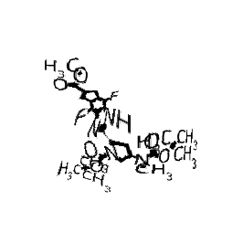 COC(=O)C1Cc2c(c(F)c3[nH]c([C@@H]4C[C@@H](N(C)C(=O)OC(C)(C)C)CN4C(=O)OC(C)(C)C)nc3c2F)C1